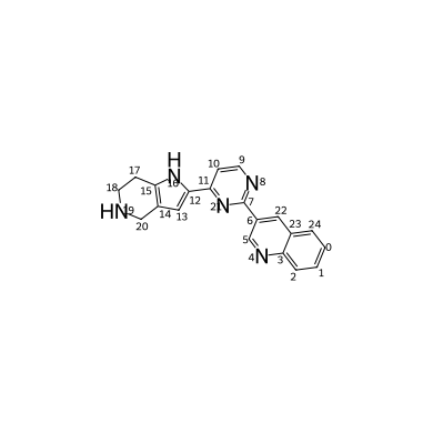 c1ccc2ncc(-c3nccc(-c4cc5c([nH]4)CCNC5)n3)cc2c1